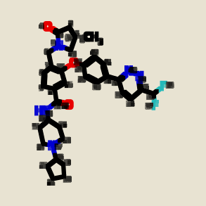 C[C@H]1CC(=O)N(Cc2ccc(C(=O)NC3CCN(C4CCCC4)CC3)cc2Oc2ccc(-c3ccc(C(F)F)nn3)cc2)C1